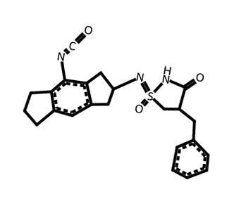 O=C=Nc1c2c(cc3c1CC(N=S1(=O)CC(Cc4ccccc4)C(=O)N1)C3)CCC2